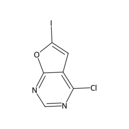 Clc1ncnc2oc(I)cc12